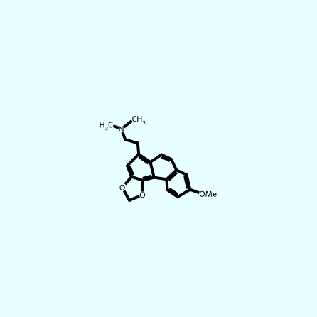 COc1ccc2c(ccc3c(CCN(C)C)cc4c(c32)OCO4)c1